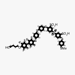 C#CCCCOc1c(F)c(F)c(-c2c(F)c(F)c(Sc3ccc(Sc4ccc(Sc5ccc(S(=O)(=O)c6ccc(Sc7ccc(SC)cc7)c(S(=O)(=O)O)c6)cc5S(=O)(=O)O)cc4)cc3)c(F)c2F)c(F)c1F